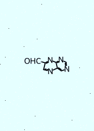 O=Cc1cnc2cncnc2n1